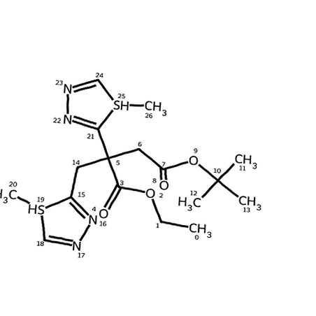 CCOC(=O)C(CC(=O)OC(C)(C)C)(CC1=NN=C[SH]1C)C1=NN=C[SH]1C